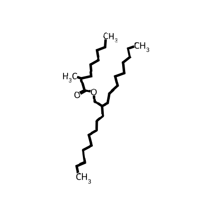 CCCCCCCCCC(CCCCCCCCC)COC(=O)C(C)CCCCCC